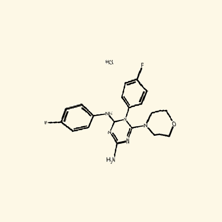 Cl.NC1=NC(Nc2ccc(F)cc2)N(c2ccc(F)cc2)C(N2CCOCC2)=N1